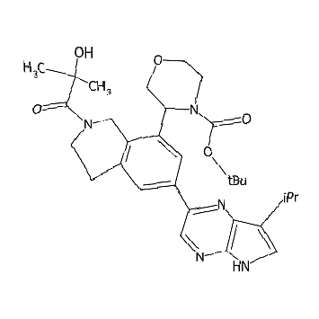 CC(C)c1c[nH]c2ncc(-c3cc4c(c(C5COCCN5C(=O)OC(C)(C)C)c3)CN(C(=O)C(C)(C)O)CC4)nc12